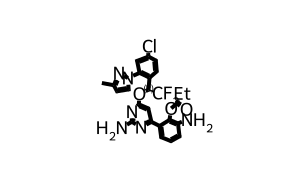 CCC(=O)Oc1c(N)cccc1-c1cc(O[C@H](c2ccc(Cl)cc2-n2ccc(C)n2)C(F)(F)F)nc(N)n1